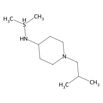 CC(C)CN1CCC(N[SH](C)C)CC1